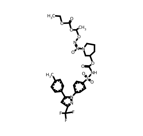 CCOC(=O)OC(C)O/N=[N+](/[O-])N1CCCC(OC(=O)NS(=O)(=O)c2ccc(-n3nc(C(F)(F)F)cc3-c3ccc(C)cc3)cc2)C1